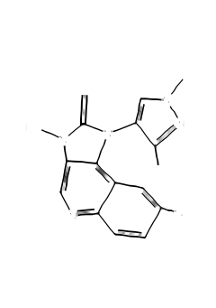 CCn1cc(-n2c(=O)n(C)c3cnc4ccc(Br)cc4c32)c(C)n1